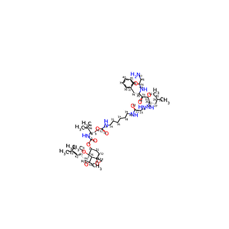 COC1C(OC(=O)N[C@@H](COC(=O)NCCCCCCNC(=O)CNN[C@@H](CC(C)C)C(=O)C(=O)[C@H](Cc2ccccc2)NC(=O)CN)C(C)C)CC[C@]2(CO2)C1C1(C)O[C@@H]1CC=C(C)C